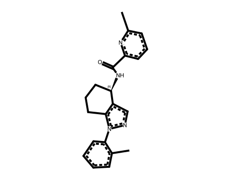 Cc1cccc(C(=O)N[C@@H]2CCCc3c2cnn3-c2ccccc2C)n1